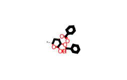 C[C@@H]1C[C@H](OC(=O)c2ccccc2)[C@@H](OC(=O)c2ccccc2)[C@@H](O)O1